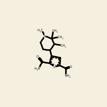 CC1C(c2cc(C(N)=O)oc2C(N)=O)CCN(C)C1(C)C